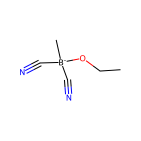 CCO[B-](C)(C#N)C#N